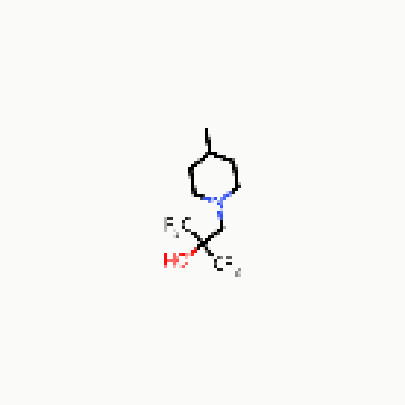 CC1CCN(CC(O)(C(F)(F)F)C(F)(F)F)CC1